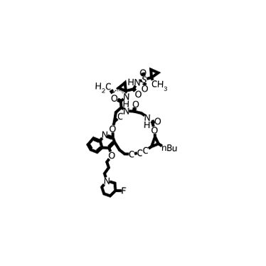 C=C[C@@H]1C[C@]1(NC(=O)C1CC2CN1C(=O)CNC(=O)OC1C(CCCC)C1CCCCCc1c(nc3ccccc3c1OCCCN1CCCC(F)C1)O2)C(=O)NS(=O)(=O)C1(C)CC1